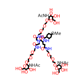 COC1CCC(C(=O)NC(CCC(=O)NCCOCCOCCOC2OC(CO)C(O)C(O)C2NC(C)=O)C(=O)N(CC(=O)NCCOCCOCCOC2OC(CO)C(O)C(O)C2NC(C)=O)CC(=O)NCCOCCOCCOC2OC(CO)C(O)C(O)C2NC(C)=O)CC1